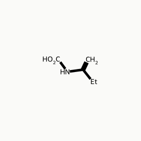 C=C(CC)NC(=O)O